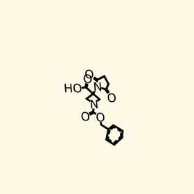 O=C(OCc1ccccc1)N1CC(C(=O)O)(N2C(=O)CCC2=O)C1